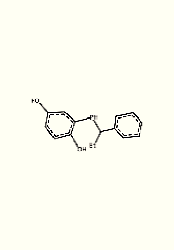 CCC(Pc1cc(O)ccc1O)c1ccccc1